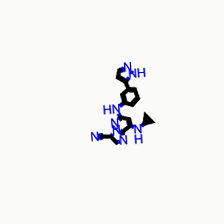 N#CC1CN=C2C(NC3CC3)=CC(Nc3cccc(-c4ccn[nH]4)c3)=NN21